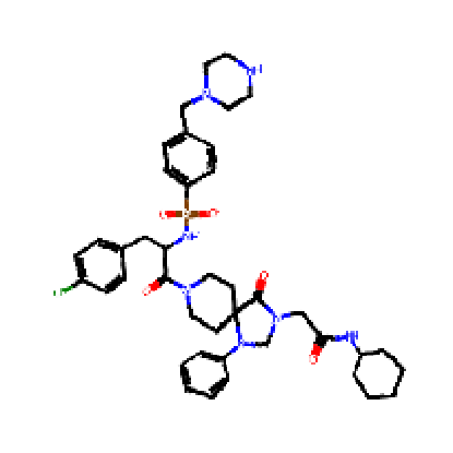 O=C(CN1CN(c2ccccc2)C2(CCN(C(=O)C(Cc3ccc(Cl)cc3)NS(=O)(=O)c3ccc(CN4CCNCC4)cc3)CC2)C1=O)NC1CCCCC1